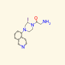 NCC(=O)N1CCN(c2cccc3cnccc23)CC1I